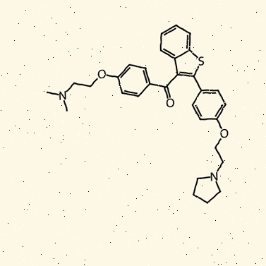 CN(C)CCOc1ccc(C(=O)c2c(-c3ccc(OCCN4CCCC4)cc3)sc3ccccc23)cc1